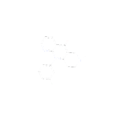 C[N+]1(C)CCc2c(c(=O)c3cccnc3n2-c2cccc(Cl)c2)C1